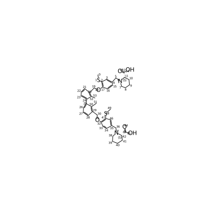 CSc1cc(CN2CCCC[C@H]2C(=O)O)ccc1OCc1cccc(-c2cccc(COc3ccc(CN4CCCC[C@H]4C(=O)O)cc3SC)c2C)c1C